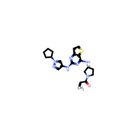 C=CC(=O)N1CC[C@@H](Nc2nc(Nc3cnn(C4CCCC4)c3)nc3ccsc23)C1